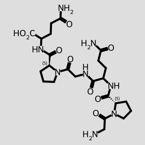 NCC(=O)N1CCC[C@H]1C(=O)NC(CCC(N)=O)C(=O)NCC(=O)N1CCC[C@H]1C(=O)NC(CCC(N)=O)C(=O)O